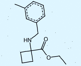 CCOC(=O)C1(NCc2cccc(C)c2)CCC1